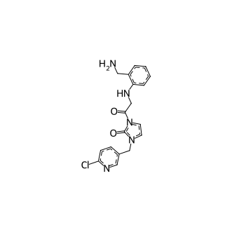 NCc1ccccc1NCC(=O)n1ccn(Cc2ccc(Cl)nc2)c1=O